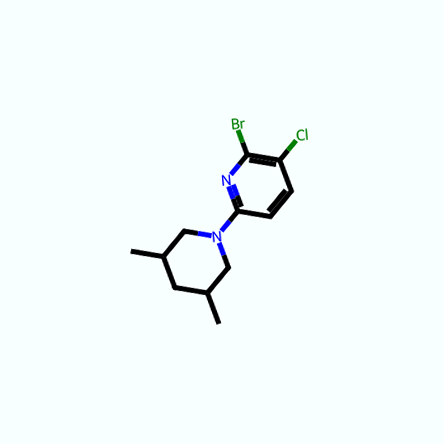 CC1CC(C)CN(c2ccc(Cl)c(Br)n2)C1